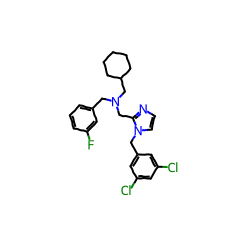 Fc1cccc(CN(Cc2nccn2Cc2cc(Cl)cc(Cl)c2)CC2CCCCC2)c1